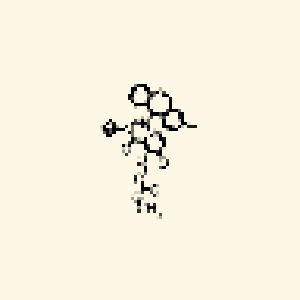 COC(=O)OCOc1c2n(ccc1=O)N(C1c3ccc(F)cc3CSc3ccccc31)CN(C13CC(C1)C3)C2=O